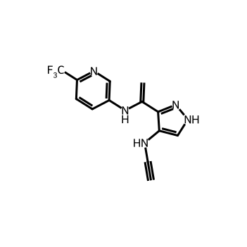 C#CNc1c[nH]nc1C(=C)Nc1ccc(C(F)(F)F)nc1